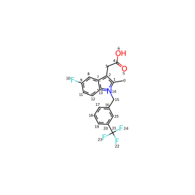 Cc1c(CC(=O)O)c2cc(F)ccc2n1Cc1cccc(C(F)(F)F)c1